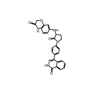 O=C1COc2cc(NC3CCN(c4ccc(-c5n[nH]c(=O)c6ccccc56)cc4)C3=O)ccc2N1